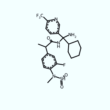 CC(C(=O)NC(N)(c1ccc(C(F)(F)F)nc1)C1CCCCC1)c1ccc(N(C)[SH](=O)=O)c(F)c1